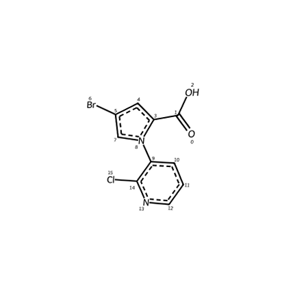 O=C(O)c1cc(Br)cn1-c1cccnc1Cl